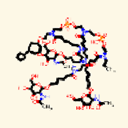 CCCN(CCOP(=O)(O)OCCN(CCOP(=O)(O)OCCN(CCOC1CCCC(C2CCCC2)CC1)C(=O)CCCCCNC(=O)CCCCCOC1OC(CO)C(O)C(O)C1NC(C)=O)C(=O)CCCCCNC(=O)CCCCCOC1OC(CO)C(O)C(O)C1NC(C)=O)C(=O)CCCCCNC(=O)CCCCCOC1OC(CO)C(O)C(O)C1NC(C)=O